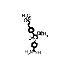 COC(=O)C=Cc1ccc(C2=C(OC)CN(c3ccc(C(=N)N)cc3)C2=O)cc1.Cl